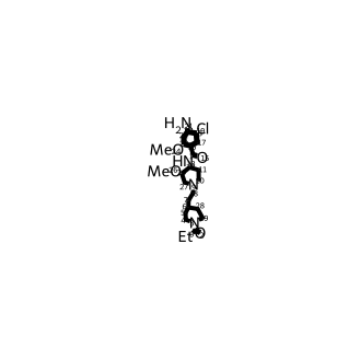 CCC(=O)N1CCC(CCN2CCC(NC(=O)c3cc(Cl)c(N)cc3OC)C(OC)C2)CC1